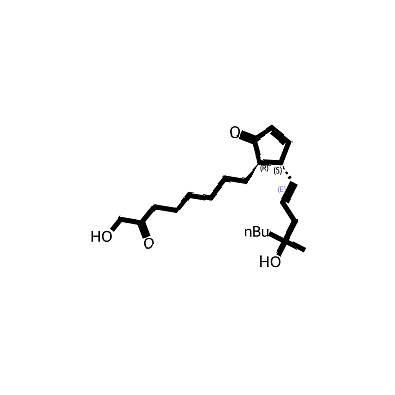 CCCCC(C)(O)C/C=C/[C@H]1C=CC(=O)[C@@H]1CCCCCCC(=O)CO